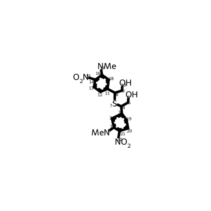 CNc1cc(C(CO)SC(CO)c2ccc([N+](=O)[O-])c(NC)c2)ccc1[N+](=O)[O-]